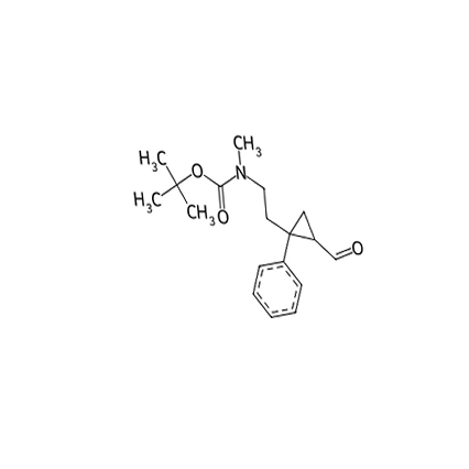 CN(CCC1(c2ccccc2)CC1C=O)C(=O)OC(C)(C)C